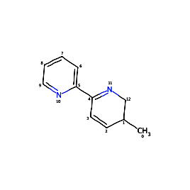 CC1C=CC(c2ccccn2)=NC1